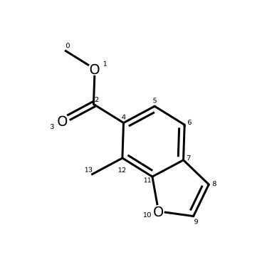 COC(=O)c1ccc2ccoc2c1C